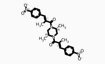 C/C(=C\c1ccc([N+](=O)[O-])cc1)C(=O)N1C[C@@H](C)N(C(=O)/C(C)=C/c2ccc([N+](=O)[O-])cc2)C[C@H]1C